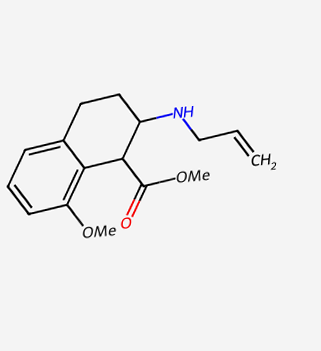 C=CCNC1CCc2cccc(OC)c2C1C(=O)OC